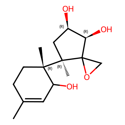 CC1=CC(O)[C@@](C)([C@@]2(C)C[C@@H](O)[C@@H](O)C23CO3)CC1